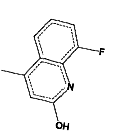 Cc1cc(O)nc2c(F)cccc12